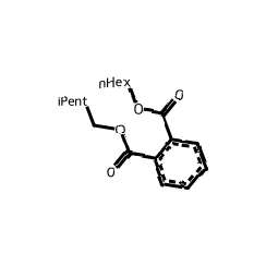 CCCCCCOC(=O)c1ccccc1C(=O)OCC(C)CCC